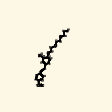 CC(=O)Oc1ccc(C=Cc2cnc(OCCOCCOCCF)c(Br)c2)cc1